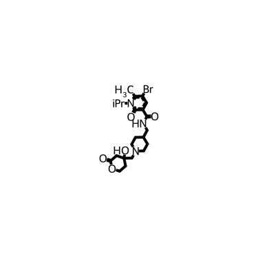 Cc1c(Br)cc(C(=O)NCC2CCN(CC3(O)CCOC(=O)C3)CC2)c(=O)n1C(C)C